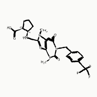 Cn1c(N[C@@H]2CCC[C@@H]2C(=O)O)nc2c1c(=O)n(Cc1ccc(C(F)(F)F)cc1)c(=O)n2C